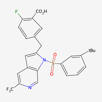 CC(C)(C)c1cccc(S(=O)(=O)n2c(Cc3ccc(F)c(C(=O)O)c3)cc3cc(C(F)(F)F)ncc32)c1